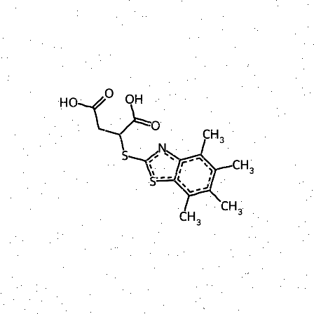 Cc1c(C)c(C)c2sc(SC(CC(=O)O)C(=O)O)nc2c1C